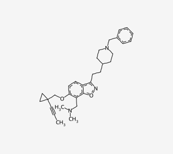 CC#CC1(COc2ccc3c(CCC4CCN(Cc5ccccc5)CC4)noc3c2CN(C)C)CC1